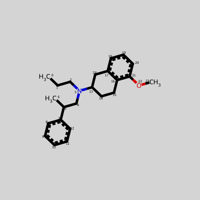 CCCN(CC(C)c1ccccc1)C1CCc2c(cccc2OC)C1